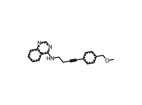 COCc1ccc(C#CCCNc2ncnc3ccccc23)cc1